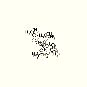 CC(C)(C)c1ccc(N2c3cc(N4c5ccccc5C5(c6ccc(C(C)(C)C)cc6)CCCCC45C)ccc3B3c4ccc(C(C)(C)C)cc4N(c4cccc(C(C)(C)C)c4)c4cc(C(C)(C)C)cc2c43)cc1